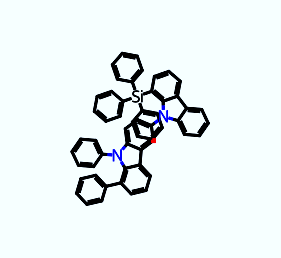 c1ccc(-c2cccc3c4cc(-n5c6ccccc6c6cccc([Si](c7ccccc7)(c7ccccc7)c7ccccc7)c65)ccc4n(-c4ccccc4)c23)cc1